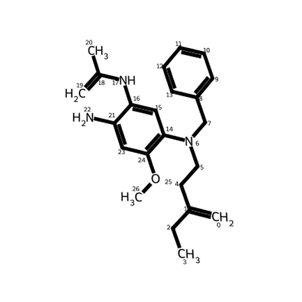 C=C(CC)CCN(Cc1ccccc1)c1cc(NC(=C)C)c(N)cc1OC